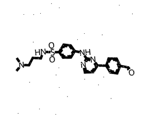 CN(C)CCCNS(=O)(=O)c1ccc(Nc2nccc(-c3ccc(C=O)cc3)n2)cc1